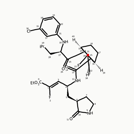 CCOC(=O)/C(F)=C/[C@H](C[C@H]1CCNC1=O)NC(=O)[C@@H]1[C@@H]2CC[C@@H](CC2(F)F)N1C(=O)[C@@H](CC(C)C)Nc1cccc(Cl)c1